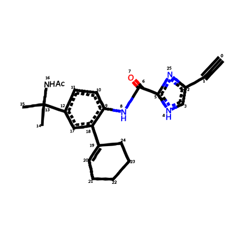 C#Cc1c[nH]c(C(=O)Nc2ccc(C(C)(C)NC(C)=O)cc2C2=CCCCC2)n1